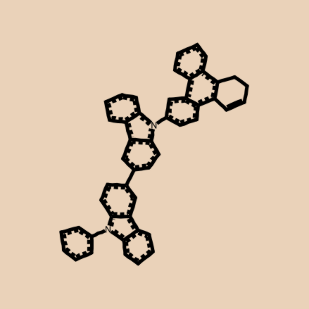 C1=Cc2c(c3ccccc3c3cc(-n4c5ccccc5c5cc(-c6ccc7c(c6)c6ccccc6n7-c6ccccc6)ccc54)ccc23)CC1